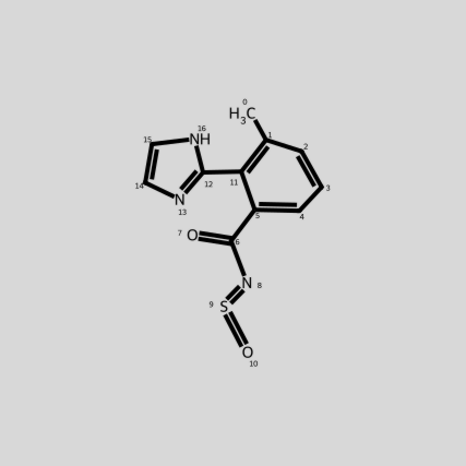 Cc1cccc(C(=O)N=S=O)c1-c1ncc[nH]1